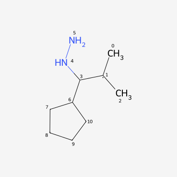 C[C](C)C(NN)C1CCCC1